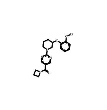 CCOc1ccccc1OC1CCCN(c2ncc(C(=O)N3CCC3)cn2)C1